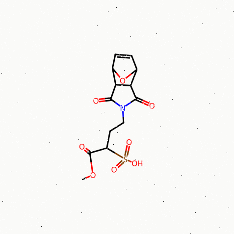 COC(=O)C(CCN1C(=O)C2C3C=CC(O3)C2C1=O)S(=O)(=O)O